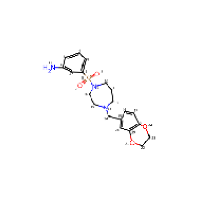 Nc1cccc(S(=O)(=O)N2CCCN(Cc3ccc4c(c3)OCCO4)CC2)c1